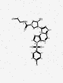 CC[C@@H]1CN(C(=O)NCCF)C[C@@H]1c1cnc2cnc3c(ccn3S(=O)(=O)c3ccc(C)cc3)n12